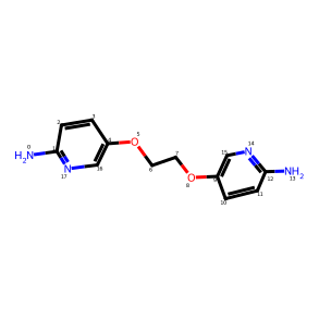 Nc1ccc(OCCOc2ccc(N)nc2)cn1